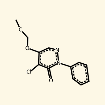 CCCOc1cnn(-c2ccccc2)c(=O)c1Cl